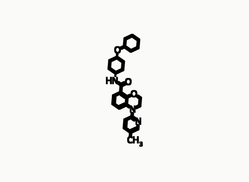 Cc1ccc(N2CCOc3c(C(=O)N[C@H]4CC[C@H](OC5CCCCC5)CC4)cccc32)nc1